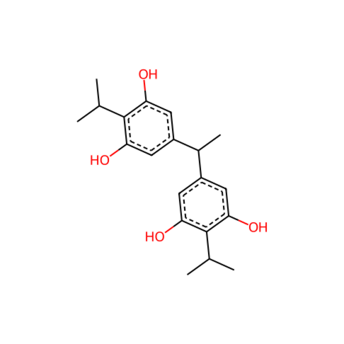 CC(C)c1c(O)cc(C(C)c2cc(O)c(C(C)C)c(O)c2)cc1O